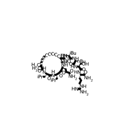 CCCC[C@H](NC(=O)[C@@H](NC(=O)[C@]1(C)CCCCCCCCC(C)(C)C(=O)N[C@@H](CC(C)C)C(=O)N[C@@H](CC(C)C)C(=O)C(=O)[C@H](CCC(N)=O)NN1)[C@@H](C)CC)C(=O)N[C@@H](CO)C(=O)N[C@@H](CCCNC(=N)N)C(N)=O